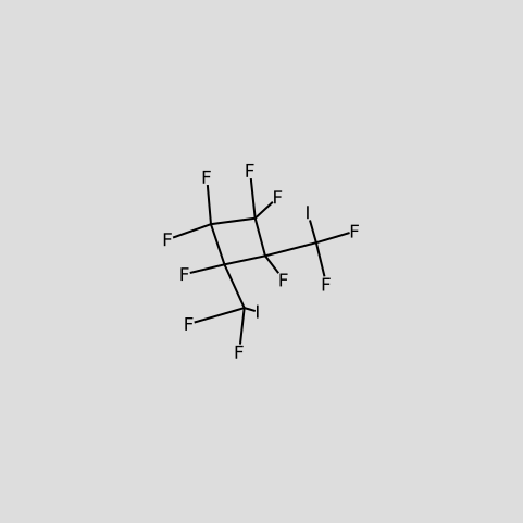 FC(F)(I)C1(F)C(F)(F)C(F)(F)C1(F)C(F)(F)I